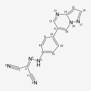 N#CC(C#N)=NNc1ccc(-c2cnc3ccnn3c2)cc1